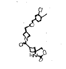 Cc1ccc(COCC2CN(C(=O)C3CC4(COC(=O)N4)C3)C2)cc1Cl